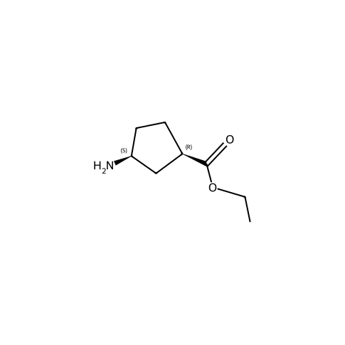 CCOC(=O)[C@@H]1CC[C@H](N)C1